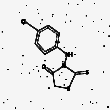 O=C1CSC(=S)N1Nc1ccc(Cl)cc1